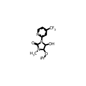 CC(C)OC1C(O)N(c2cc(C(F)(F)F)ccn2)C(=O)N1C